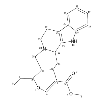 CCC1OC=C(C(=O)OC)C2CC3c4[nH]c5ccccc5c4CCN3CC12